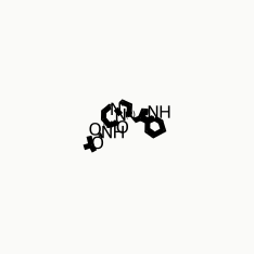 CC(C)(C)OC(=O)N[C@H]1CCCN2CC[C@@H](Cc3c[nH]c4c3C=CCC4)N2C1=O